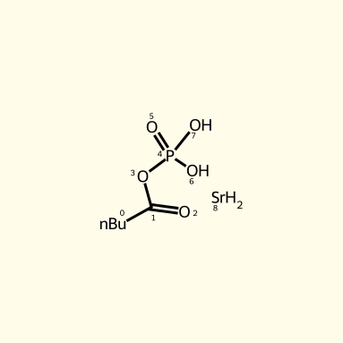 CCCCC(=O)OP(=O)(O)O.[SrH2]